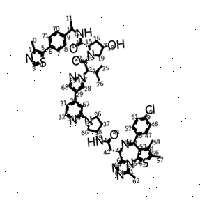 Cc1ncsc1-c1ccc(C(C)NC(=O)[C@@H]2C[C@@H](O)CN2C(=O)[C@H](C(C)C)n2cc(-c3ccnc(N4CC[C@H](NC(=O)C[C@@H]5N=C(c6ccc(Cl)cc6)c6c(sc(C)c6C)-n6c(C)nnc65)C4)c3)cn2)cc1